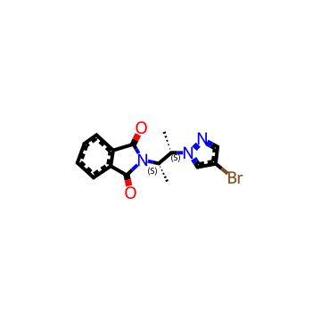 C[C@@H]([C@H](C)n1cc(Br)cn1)N1C(=O)c2ccccc2C1=O